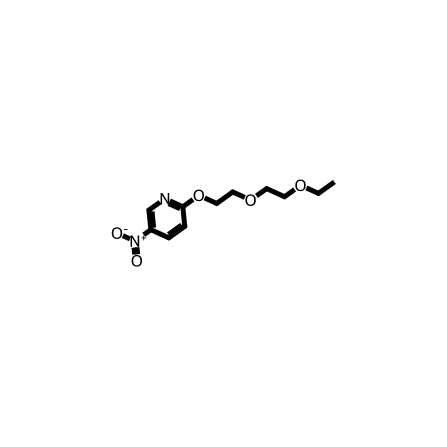 CCOCCOCCOc1ccc([N+](=O)[O-])cn1